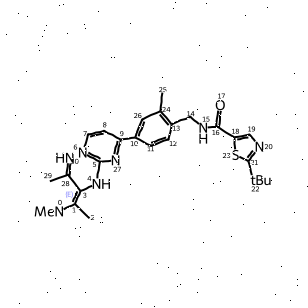 CN/C(C)=C(/Nc1nccc(-c2ccc(CNC(=O)c3cnc(C(C)(C)C)s3)c(C)c2)n1)C(C)=N